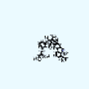 C/N=C/c1cc2c(nc1-c1cccc(C(F)(F)F)c1)N(C(=O)Nc1ccnc(OC[C@@H](O)CO)c1)[C@H]1CCN2C1